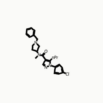 CCCc1c(C(=O)N(C)C2CCN(Cc3ccccc3)C2)cnn1-c1ccc(Cl)cc1